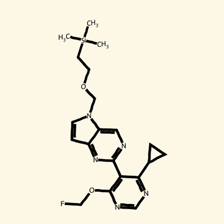 C[Si](C)(C)CCOCn1ccc2nc(-c3c(OCF)ncnc3C3CC3)ncc21